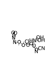 Cc1c(COc2cc(OCc3cncc(C#N)c3)c(CNC(CO)CO)cc2Cl)cccc1-c1cccc(CN(C)CCN2CCS(=O)(=O)CC2)c1C